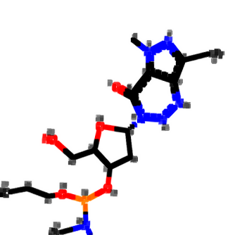 CCCc1nn(C)c2c(=O)n([C@@H]3CC(OP(OCCC#N)N(C(C)C)C(C)C)C(CO)O3)nnc12